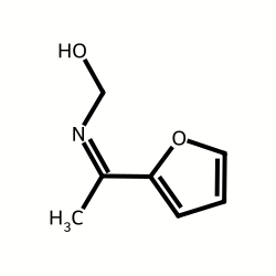 C/C(=N/CO)c1ccco1